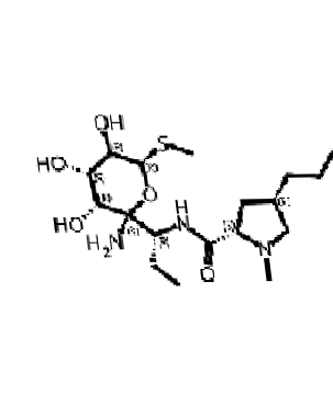 CCC[C@@H]1C[C@@H](C(=O)N[C@H](CC)[C@@]2(N)O[C@H](SC)[C@H](O)[C@@H](O)[C@H]2O)N(C)C1